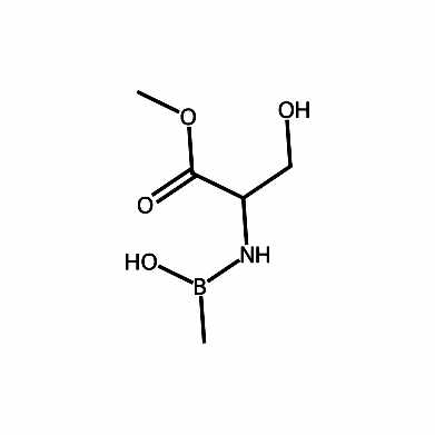 COC(=O)C(CO)NB(C)O